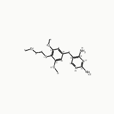 COCCSc1c(OC)cc(Cc2cnc(N)nc2N)cc1OC